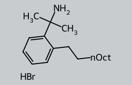 Br.CCCCCCCCCCc1ccccc1C(C)(C)N